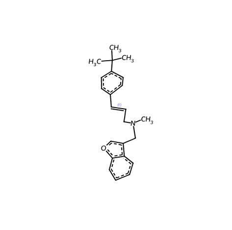 CN(C/C=C/c1ccc(C(C)(C)C)cc1)Cc1coc2ccccc12